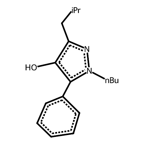 CCCCn1nc(CC(C)C)c(O)c1-c1ccccc1